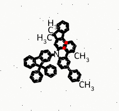 Cc1ccc(-c2ccc(N(c3ccc4c(c3)C(C)(C)c3ccccc3-4)c3ccc4c(c3)C(c3ccccc3)(c3ccccc3)c3ccccc3-4)c(-c3ccccc3C)c2)cc1